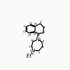 CCN1CCCN(C2CCCc3ccccc32)CC1